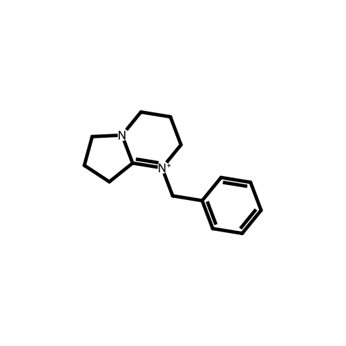 c1ccc(C[N+]2=C3CCCN3CCC2)cc1